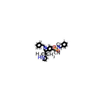 CN(Cc1ccccc1)S(=O)(=O)C(C#N)c1ccc2c(c1)c(C(C)(C)[C@H]1CCCN1)cn2Cc1ccccc1